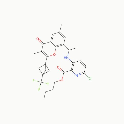 CCCCOC(=O)c1nc(Cl)ccc1NC(C)c1cc(C)cc2c(=O)c(C)c(C34CC(C(F)(F)F)(C3)C4)oc12